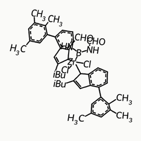 CCC(C)C1=Cc2c(-c3cc(C)cc(C)c3C)cccc2[CH]1[Zr]([Cl])([Cl])([B](NC=O)NC=O)[CH]1C(C(C)CC)=Cc2c(-c3cc(C)cc(C)c3C)cccc21